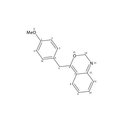 COc1ccc(CC2=c3ccccc3=NCO2)cc1